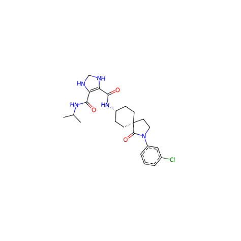 CC(C)NC(=O)C1=C(C(=O)N[C@H]2CC[C@@]3(CCN(c4cccc(Cl)c4)C3=O)CC2)NCN1